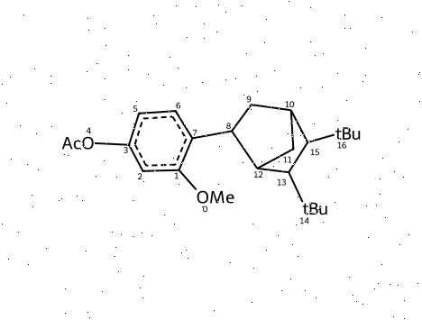 COc1cc(OC(C)=O)ccc1C1CC2CC1C(C(C)(C)C)C2C(C)(C)C